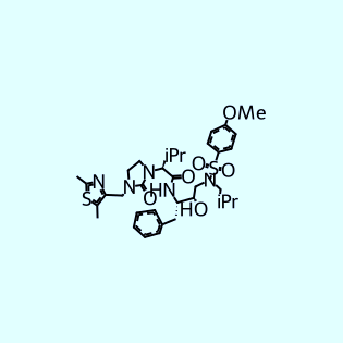 COc1ccc(S(=O)(=O)N(CC(C)C)C[C@@H](O)[C@H](Cc2ccccc2)NC(=O)[C@H](C(C)C)N2CCN(Cc3nc(C)sc3C)C2=O)cc1